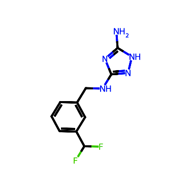 Nc1nc(NCc2cccc(C(F)F)c2)n[nH]1